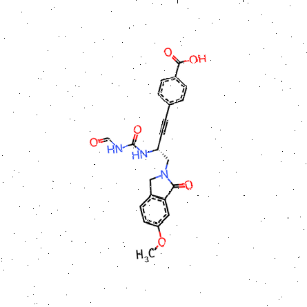 COc1ccc2c(c1)C(=O)N(C[C@@H](C#Cc1ccc(C(=O)O)cc1)NC(=O)NC=O)C2